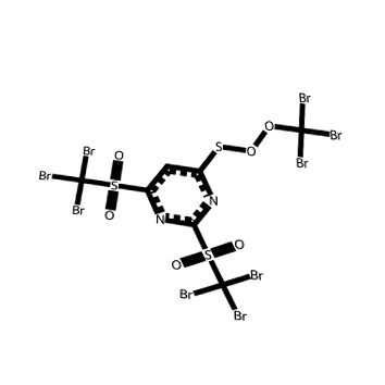 O=S(=O)(c1cc(SOOC(Br)(Br)Br)nc(S(=O)(=O)C(Br)(Br)Br)n1)C(Br)(Br)Br